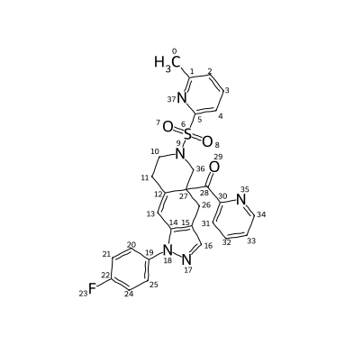 Cc1cccc(S(=O)(=O)N2CCC3=Cc4c(cnn4-c4ccc(F)cc4)CC3(C(=O)c3ccccn3)C2)n1